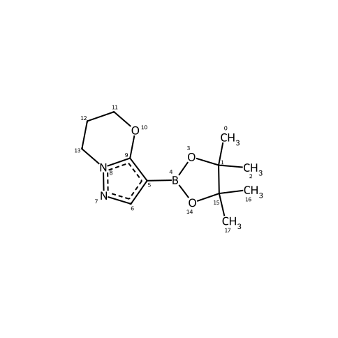 CC1(C)OB(c2cnn3c2OCCC3)OC1(C)C